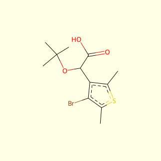 Cc1sc(C)c(C(OC(C)(C)C)C(=O)O)c1Br